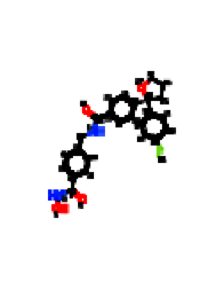 O=C(NO)c1ccc(CNC(=O)c2ccc([C@@]3(c4ccc(F)cc4)CCCO3)cc2)cc1